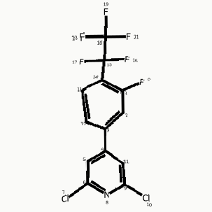 Fc1cc(-c2cc(Cl)nc(Cl)c2)ccc1C(F)(F)C(F)(F)F